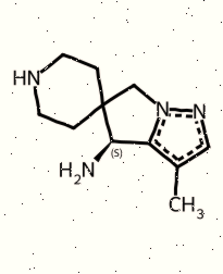 Cc1cnn2c1[C@@H](N)C1(CCNCC1)C2